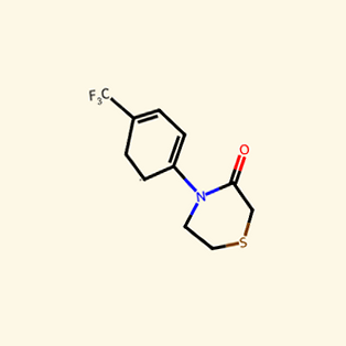 O=C1CSCCN1C1=CC=C(C(F)(F)F)C[CH]1